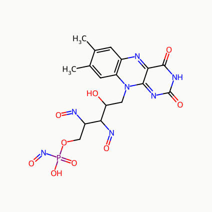 Cc1cc2nc3c(=O)[nH]c(=O)nc-3n(CC(O)C(N=O)C(COP(=O)(O)N=O)N=O)c2cc1C